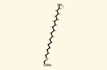 COCOCCCCCCCCCCCCCCCCCCN